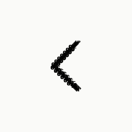 [Ag].[H+].[H+].[H+].[H+].[H+].[H+].[H+].[H+].[H+].[H+].[H+].[H+].[O-]B([O-])[O-].[O-]B([O-])[O-].[O-]B([O-])[O-].[O-]B([O-])[O-].[O-]B([O-])[O-].[O-]B([O-])[O-].[O-]B([O-])[O-].[O-]B([O-])[O-].[O-]B([O-])[O-].[O-]B([O-])[O-].[O-]B([O-])[O-].[O-]B([O-])[O-]